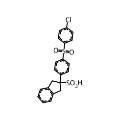 O=S(=O)(c1ccc(Cl)cc1)c1ccc(C2(S(=O)(=O)O)Cc3ccccc3C2)cc1